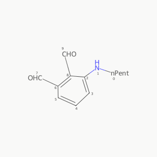 CCCCCNc1cccc(C=O)c1C=O